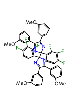 COc1cccc(C2=NC(c3ccc(F)c(F)c3F)(C3(c4ccc(F)c(F)c4F)N=C(c4cccc(OC)c4)C(c4cccc(OC)c4)=N3)N=C2c2cccc(OC)c2)c1